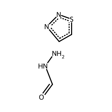 NNC=O.c1csnn1